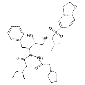 CC[C@H](C)CC(=O)N(NC(=O)CN1CCCC1)[C@@H](Cc1ccccc1)[C@H](O)CNC(C(C)C)S(=O)(=O)c1ccc2c(c1)CCO2